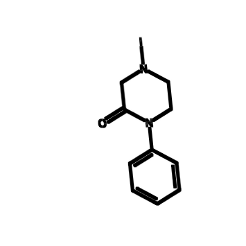 O=C1CN(I)CCN1c1ccccc1